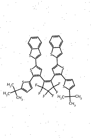 CC(C)(C)c1ccc(-c2sc(-c3cc4ccccc4s3)cc2C2=C(c3cc(-c4cc5ccccc5s4)sc3-c3ccc(C(C)(C)C)s3)C(F)(F)C(F)(F)C2(F)F)s1